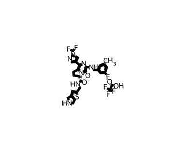 Cc1cc(F)cc(CNc2nc(-c3cnn(C(F)F)c3)c3n(c2=O)[C@H](C(=O)NCc2cc4c(s2)CNC4)CC3)c1.O=C(O)C(F)(F)F